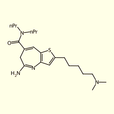 CCCN(CCC)C(=O)C1=Cc2sc(CCCCCN(C)C)cc2N=C(N)C1